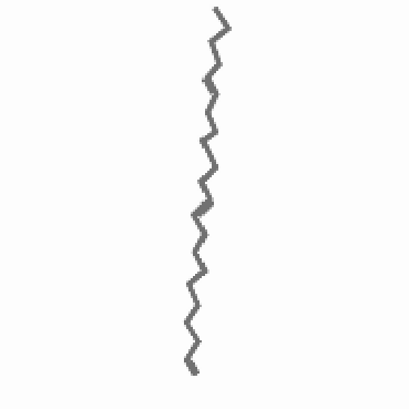 C=CCCCCCCCC=CCCCCCC=CCCCC